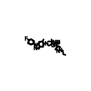 CCCn1cc(S(=O)(=O)NC2(C)CCN(c3cc4cnn(-c5ccc(F)cc5)c4cc3C)C2)cn1